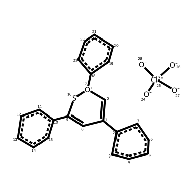 C1=C(c2ccccc2)C=C(c2ccccc2)S[O+]1c1ccccc1.[O-][Cl+3]([O-])([O-])[O-]